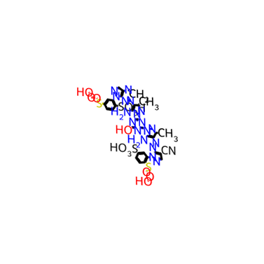 C=Nc1cnn(-c2cc(SOOO)ccc2S(=O)(=O)O)c1N=Nc1c(C)nn(-c2nc(O)nc(-n3nc(C)c(N=Nc4c(C#N)cnn4-c4cc(S(=O)(=O)O)ccc4SOOO)c3N)n2)c1N